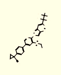 CCS(=O)(=O)c1cc(-c2ccc(C3(C#N)CC3)cc2)cnc1-n1cc2nnc(C(F)(F)C(F)(F)F)cc2n1